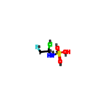 O=S(=O)(O)NC(Cl)CF